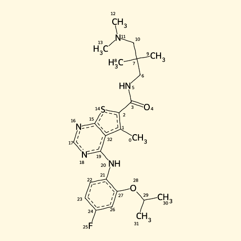 Cc1c(C(=O)NCC(C)(C)CN(C)C)sc2ncnc(Nc3ccc(F)cc3OC(C)C)c12